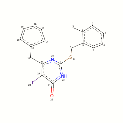 Cc1ccccc1CSc1nc(Cc2ccccc2)c(I)c(=O)[nH]1